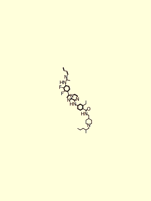 C=C/C=C\N=C(/C)Nc1ccc(-c2cnc3c(Nc4ccc(C(=O)NCC5CCN(CC(C)CCC)CC5)c(CC)c4)nccn23)c(F)c1F